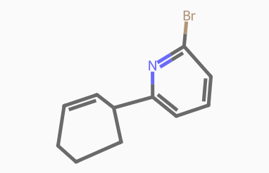 Brc1cccc(C2C=CCCC2)n1